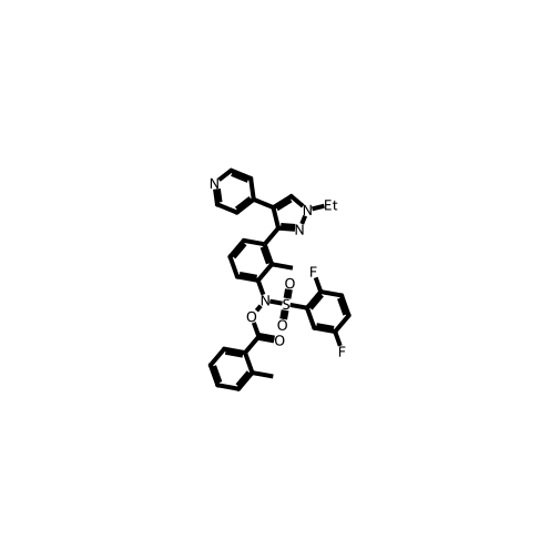 CCn1cc(-c2ccncc2)c(-c2cccc(N(OC(=O)c3ccccc3C)S(=O)(=O)c3cc(F)ccc3F)c2C)n1